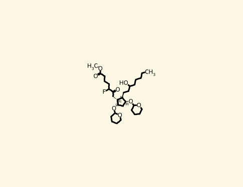 CCCCCC(O)CC[C@@H]1[C@@H](CC(=O)C(F)CCCC(=O)OC)[C@@H](OC2CCCCO2)C[C@H]1OC1CCCCO1